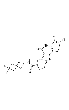 NC(=O)c1c(-c2ccc(Cl)c(Cl)c2)nn2c1CN(C(=O)NC1CC3(C1)CC(F)(F)C3)CC2